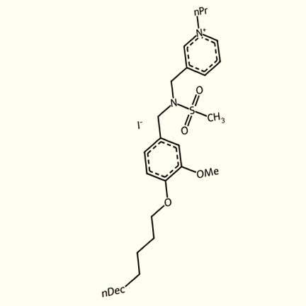 CCCCCCCCCCCCCCOc1ccc(CN(Cc2ccc[n+](CCC)c2)S(C)(=O)=O)cc1OC.[I-]